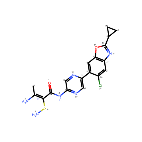 C/C(N)=C(/SN)C(=O)Nc1cnc(-c2cc3oc(C4CC4)nc3cc2Cl)cn1